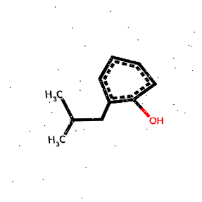 C[C](C)Cc1ccccc1O